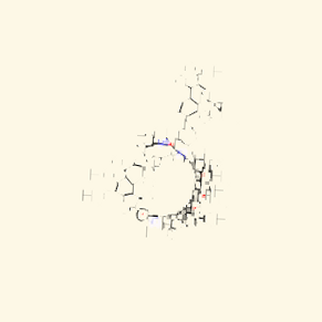 COc1c(N2CCCC(NC(=O)C3CN(C4=C5NC(=O)/C(C)=C\C=C\[C@H](C)[C@H](O)[C@@H](C)[C@@H](O)[C@@H](C)[C@H](OC(C)=O)[C@H](C)[C@@H](OC)/C=C/O[C@@]6(C)Oc7c(C)c(O)c(c(c7C6=O)C4=O)C5=O)C3)C2)c(F)cc2c(=O)c(C(C)=O)cn(C3CC3)c12